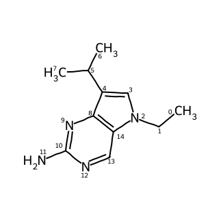 CCn1cc(C(C)C)c2nc(N)ncc21